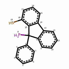 PC1(c2ccccc2)c2ccccc2-c2cccc(S)c21